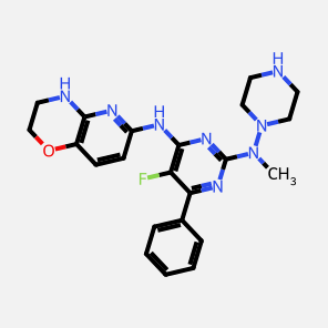 CN(c1nc(Nc2ccc3c(n2)NCCO3)c(F)c(-c2ccccc2)n1)N1CCNCC1